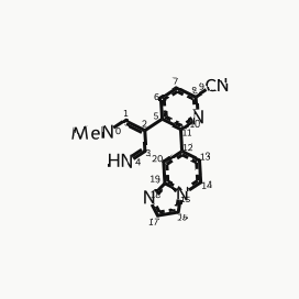 CN/C=C(\C=N)c1ccc(C#N)nc1-c1ccn2ccnc2c1